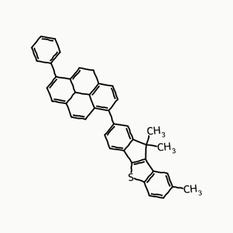 Cc1ccc2sc3c(c2c1)C(C)(C)c1cc(-c2ccc4c5c2C=CC2=CC=C(c6ccccc6)C(=CC4)C25)ccc1-3